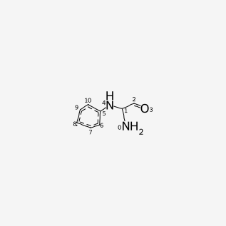 NC(C=O)Nc1cc[c]cc1